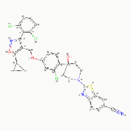 N#Cc1ccc2nc(N3CCC(O)(c4ccc(OCc5c(-c6c(Cl)cccc6Cl)noc5C5CC5)cc4Cl)CC3)sc2c1